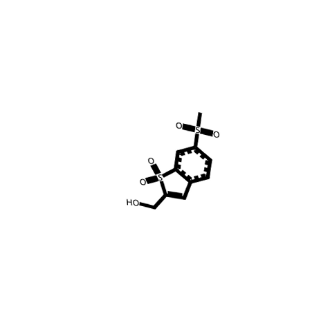 CS(=O)(=O)c1ccc2c(c1)S(=O)(=O)C(CO)=C2